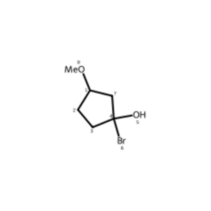 COC1CCC(O)(Br)C1